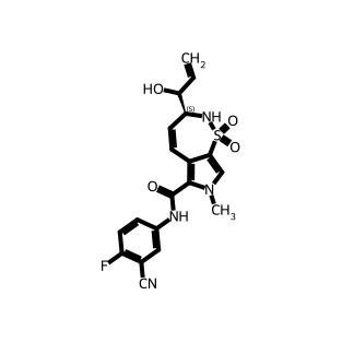 C=CC(O)[C@@H]1C=Cc2c(cn(C)c2C(=O)Nc2ccc(F)c(C#N)c2)S(=O)(=O)N1